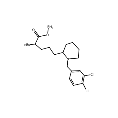 BOC(=O)C(CCCC)CCCC1CCCCN1Cc1ccc(Cl)c(Cl)c1